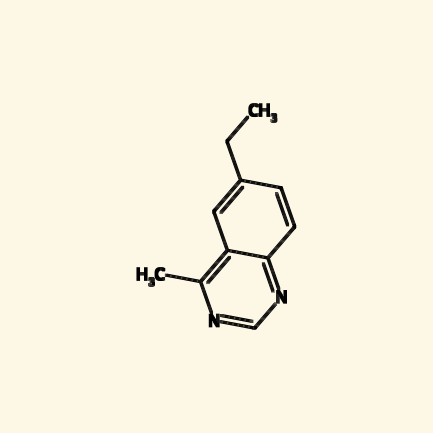 CCc1ccc2ncnc(C)c2c1